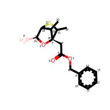 B[C@@H]1O[C@@]2(CC(=O)OCc3ccccc3)C(C)SC1C2C